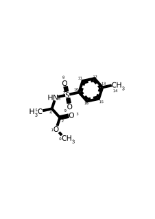 COC(=O)C(C)NS(=O)(=O)c1ccc(C)cc1